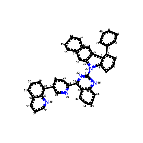 c1ccc(-c2cccc3c2c2cc4ccccc4cc2n3-c2nc(-c3ccc(-c4cccc5cccnc45)cn3)c3ccccc3n2)cc1